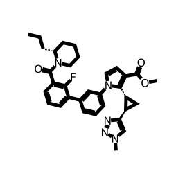 CCC[C@@H]1CCCCN1C(=O)c1cccc(-c2cccc(-n3ccc(C(=O)OC)c3[C@@H]3C[C@H]3c3cn(C)nn3)c2)c1F